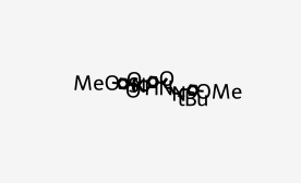 COc1ccc(CN(CCNC(=O)c2ccc3c(c2)CCN(S(=O)(=O)c2ccc(OC)cc2)C3)C(C)(C)C)cc1